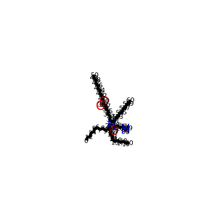 CCCCC/C=C\CCCC(CCC/C=C\CCCCC)CN(C(=O)CCCN(C)C)C(CCCCC=CC(=O)OCCCCCCCCCC)CCCCCCCCCC